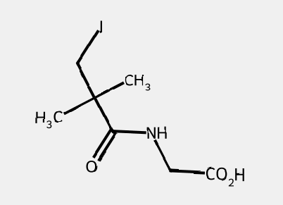 CC(C)(CI)C(=O)NCC(=O)O